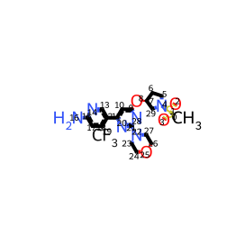 CS(=O)(=O)N1CC[C@H](Oc2cc(-c3cnc(N)cc3C(F)(F)F)nc(N3CCOCC3)n2)C1